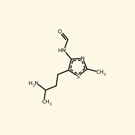 Cc1nc(NC=O)c(CCC(C)N)s1